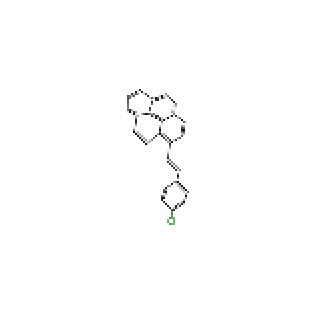 Clc1ccc(C=Cc2ccc3ccc4cccc5ccc2c3c45)cc1